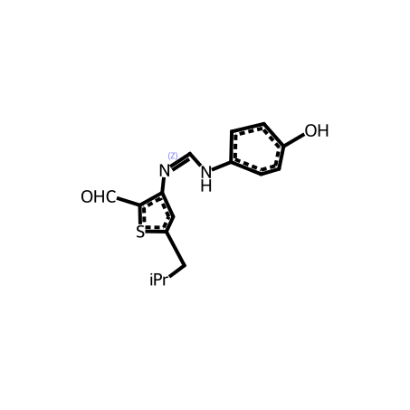 CC(C)Cc1cc(/N=C\Nc2ccc(O)cc2)c(C=O)s1